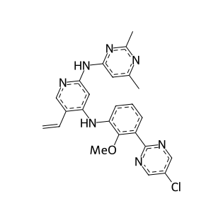 C=Cc1cnc(Nc2cc(C)nc(C)n2)cc1Nc1cccc(-c2ncc(Cl)cn2)c1OC